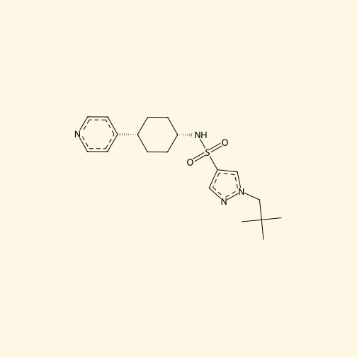 CC(C)(C)Cn1cc(S(=O)(=O)N[C@H]2CC[C@@H](c3ccncc3)CC2)cn1